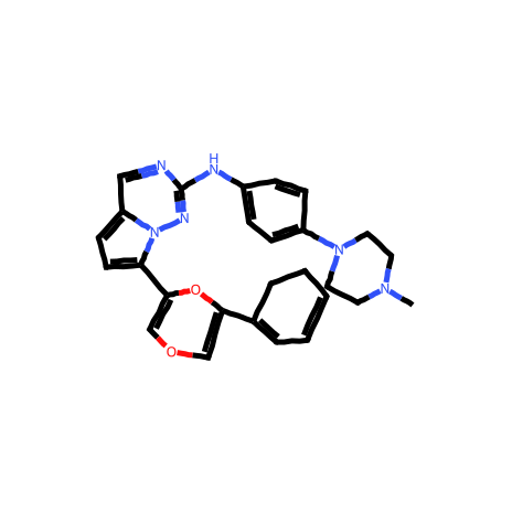 CN1CCN(c2ccc(Nc3ncc4ccc(C5=COC=C(C6=CC=CCC6)O5)n4n3)cc2)CC1